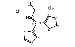 ClC[SiH]=[Zr+2]([C]1=CC=CC1)[C]1=CC=CC1.[Cl-].[Cl-]